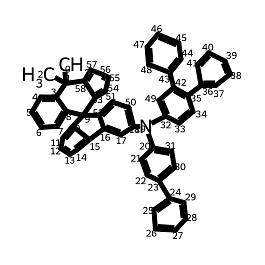 CC1(C)c2ccccc2C2(c3ccccc3-c3cc(N(c4ccc(-c5ccccc5)cc4)c4ccc(-c5ccccc5)c(-c5ccccc5)c4)ccc32)c2ccccc21